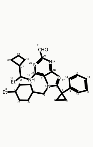 CCC1CCC(Cn2c(C3(c4ccccc4)CC3)nc3nc(C=O)nc(NC(CC)C4CCC4)c32)CC1